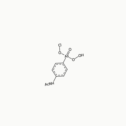 CC(=O)Nc1ccc([As](=O)(OO)OCl)cc1